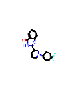 O=c1[nH]c(C2CCCN(C3CCC(F)(F)CC3)C2)nc2ccccc12